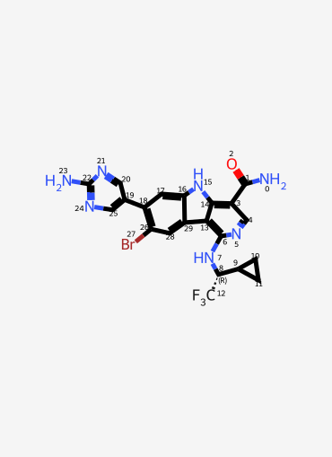 NC(=O)c1cnc(N[C@H](C2CC2)C(F)(F)F)c2c1[nH]c1cc(-c3cnc(N)nc3)c(Br)cc12